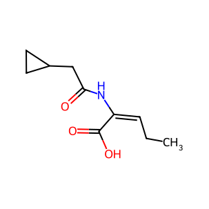 CCC=C(NC(=O)CC1CC1)C(=O)O